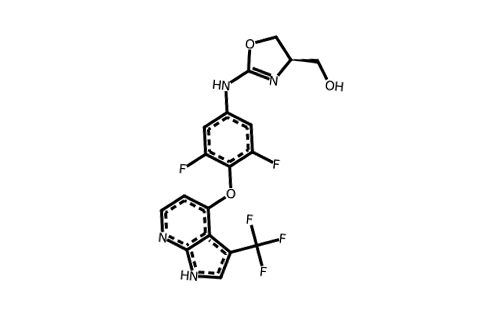 OC[C@@H]1COC(Nc2cc(F)c(Oc3ccnc4[nH]cc(C(F)(F)F)c34)c(F)c2)=N1